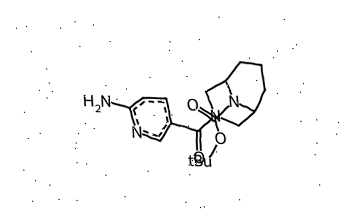 CC(C)(C)OC(=O)N1C2CCCC1CN(C(=O)c1ccc(N)nc1)C2